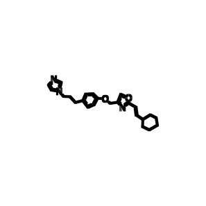 C(=CC1CCCCC1)c1nc(COc2ccc(CCCn3ccnc3)cc2)co1